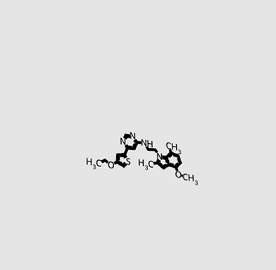 CCOc1csc(-c2cc(NCCn3c(C)cc4c(OC)ccc(C)c43)ncn2)c1